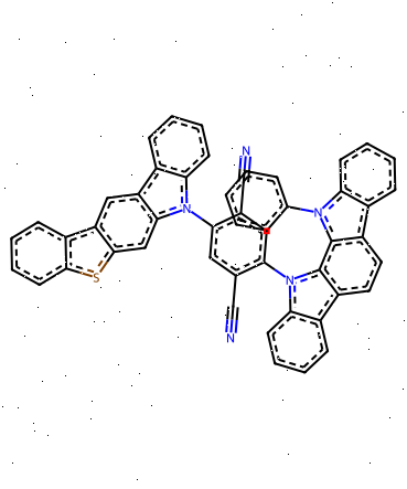 N#Cc1cc(-n2c3ccccc3c3ccc4c5ccccc5n(-c5ccccc5)c4c32)c(C#N)cc1-n1c2ccccc2c2cc3c(cc21)sc1ccccc13